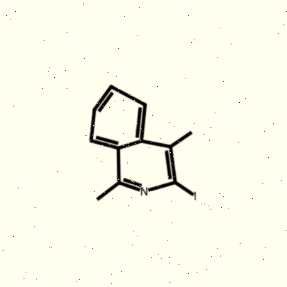 Cc1nc(I)c(C)c2ccccc12